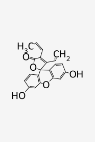 C=CC1=C(/C=C\C)C(=O)OC12c1ccc(O)cc1Oc1cc(O)ccc12